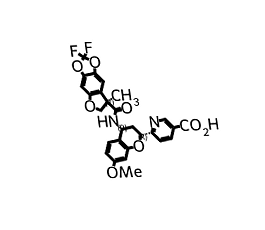 COc1ccc2c(c1)O[C@@H](c1ccc(C(=O)O)cn1)C[C@H]2NC(=O)[C@@]1(C)COc2cc3c(cc21)OC(F)(F)O3